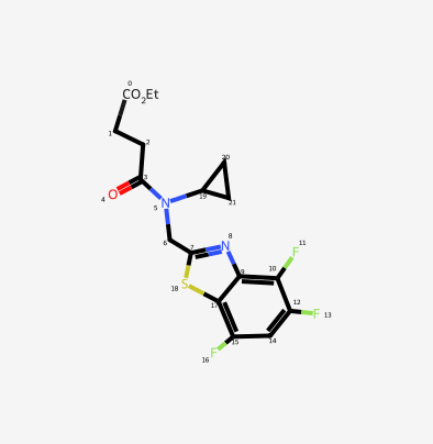 CCOC(=O)CCC(=O)N(Cc1nc2c(F)c(F)cc(F)c2s1)C1CC1